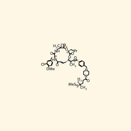 COc1ccc(C[C@H]2NC(=O)/C=C/C[C@@H]([C@H](C)[C@H]3O[C@@H]3c3ccc(CN4CCN(C(=O)CCC(C)(C)SSC)CC4)cc3)OC(=O)[C@H](CC(C)C)OC(=O)C(C)(C)CNC2=O)cc1Cl